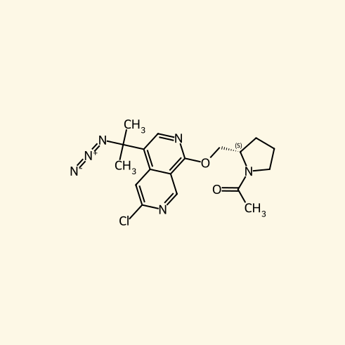 CC(=O)N1CCC[C@H]1COc1ncc(C(C)(C)N=[N+]=[N-])c2cc(Cl)ncc12